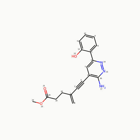 C=C(C#Cc1cc(-c2ccccc2O)nnc1N)CCC(=O)OC